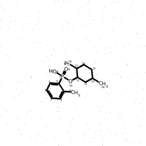 Cc1ccccc1P(=O)(O)OC1CC(C)CCC1C(C)C